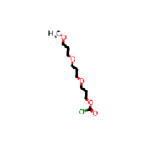 COCCCOCCCOCCCOC(=O)Cl